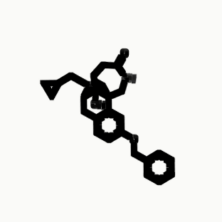 O=C1CCC2(O)C3Cc4ccc(OCc5ccccc5)cc4C2(CCN3CC2CC2)CN1